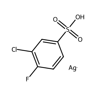 O=S(=O)(O)c1ccc(F)c(Cl)c1.[Ag]